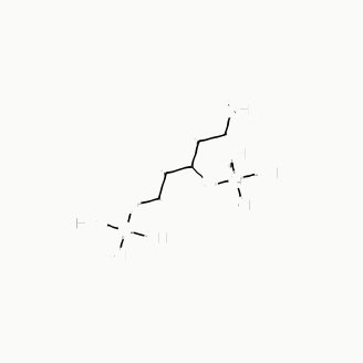 C[Si](C)(C)OCCC(CCN)O[Si](C)(C)C